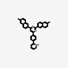 Cc1ccc2cc(-c3cc(-c4ccc(C5=CC=CCN5)cc4)nc(-c4ccc5cc(C)ccc5c4)n3)ccc2c1